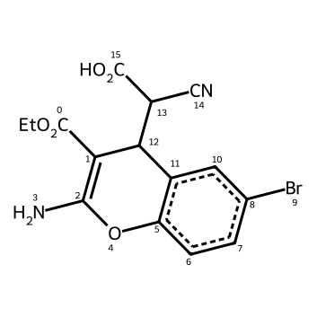 CCOC(=O)C1=C(N)Oc2ccc(Br)cc2C1C(C#N)C(=O)O